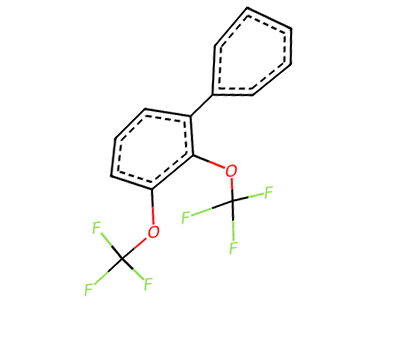 FC(F)(F)Oc1cccc(-c2ccccc2)c1OC(F)(F)F